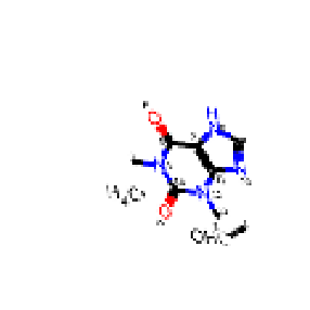 C.CC=O.Cn1c(=O)c2[nH]cnc2n(C)c1=O